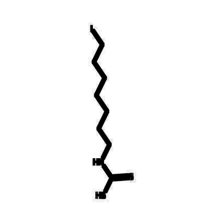 S=C(S)NCCCCCCCI